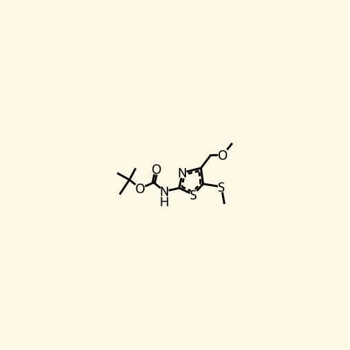 COCc1nc(NC(=O)OC(C)(C)C)sc1SC